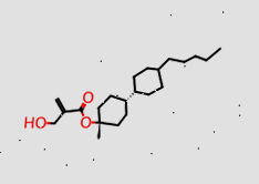 C=C(CO)C(=O)O[C@]1(C)CC[C@H](C2CCC(CCCCC)CC2)CC1